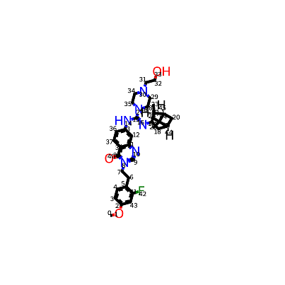 COc1ccc(CCn2cnc3cc(NC(=NC4C[C@@H]5C[C@H]([C@@H]4C)C5(C)C)N4CCN(CCO)CC4)ccc3c2=O)c(F)c1